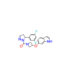 O=C(N1CC(Oc2ccc3cc[nH]c3c2)C1)N1N=CCC1c1cc(F)cc(F)c1